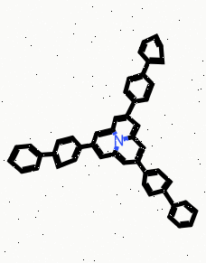 C1=C(c2ccc(-c3ccccc3)cc2)C=C2C=C(c3ccc(-c4ccccc4)cc3)C=C3C=C(c4ccc(-c5ccccc5)cc4)C=C1N23